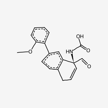 COc1ccccc1-c1ccc2c(c1)[C@@](C=O)(NC(=O)O)C=CC2